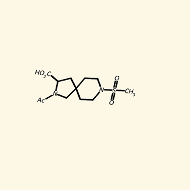 CC(=O)N1CC2(CCN(S(C)(=O)=O)CC2)CC1C(=O)O